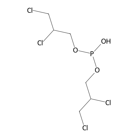 OP(OCC(Cl)CCl)OCC(Cl)CCl